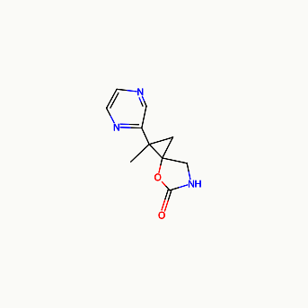 CC1(c2cnccn2)CC12CNC(=O)O2